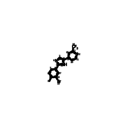 Cc1ccc(-c2ncc(-c3ccnc(C(F)(F)F)c3)[nH]2)cc1Br